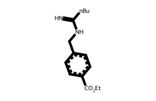 CCCCC(=N)NCc1ccc(C(=O)OCC)cc1